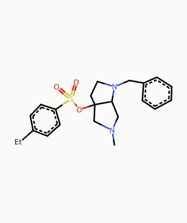 CCc1ccc(S(=O)(=O)OC23CCN(Cc4ccccc4)C2CN(C)C3)cc1